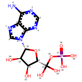 Nc1ncnc2c1ncn2[C@@H]1O[C@H](C(O)(O)OP(=O)(O)O)[C@@H](O)[C@H]1O